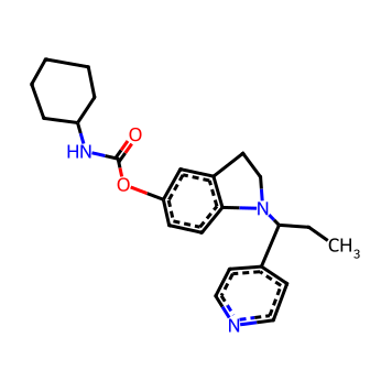 CCC(c1ccncc1)N1CCc2cc(OC(=O)NC3CCCCC3)ccc21